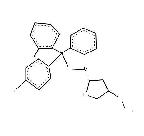 CCc1ccc(C(OC(=O)[C@@H]2CC(OC(C)(C)C)CN2)(c2ccccc2)c2ccccc2Cl)cc1